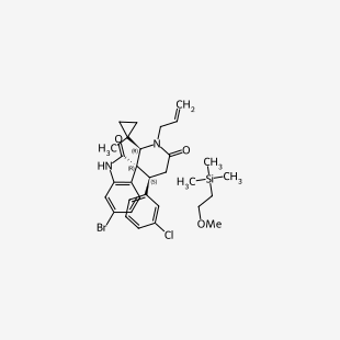 C=CCN1C(=O)C[C@@H](c2cccc(Cl)c2)[C@]2(C(=O)Nc3cc(Br)ccc32)[C@H]1C1(C)CC1.COCC[Si](C)(C)C